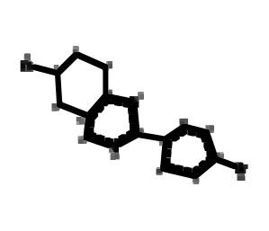 CCC1CCc2nc(-c3ccc(Br)cc3)ncc2C1